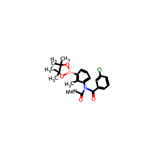 CNC(=O)N(C(=O)c1cccc(Cl)c1)c1cccc(B2OC(C)(C)C(C)(C)O2)c1C